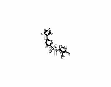 Cc1noc(NS(=O)(=O)c2ccc(-c3ccsc3)s2)c1Br